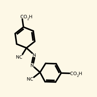 N#CC1(N=NC2(C#N)C=CC(C(=O)O)=CC2)C=CC(C(=O)O)=CC1